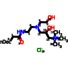 CCCCCCCCCCCC(=O)NCCN(CCO)CC(O)C[N+](C)(C)C.[Cl-]